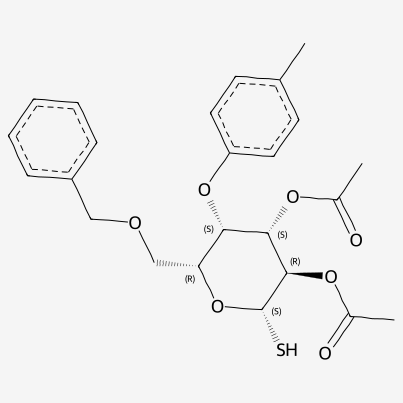 CC(=O)O[C@@H]1[C@@H](OC(C)=O)[C@H](S)O[C@H](COCc2ccccc2)[C@@H]1Oc1ccc(C)cc1